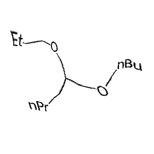 CCCCOC(CCC)OCC